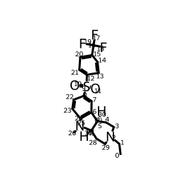 CCN1CC[C@@H]2c3cc(S(=O)(=O)c4ccc(C(F)(F)F)cc4)ccc3N(C)[C@@H]2CC1